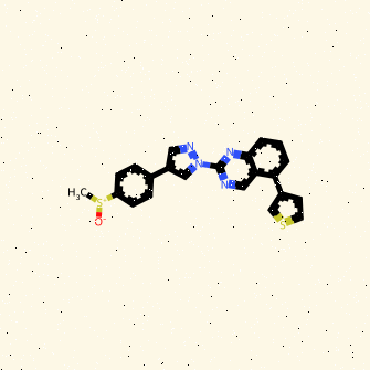 C[S+]([O-])c1ccc(-c2cnn(-c3ncc4c(-c5ccsc5)cccc4n3)c2)cc1